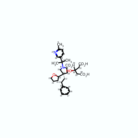 Cc1ccc(C(C)(C)N2CC[C@@](CCc3ccccc3)(C3CCCO3)C2)cn1.O=C(O)CC(O)(CC(=O)O)C(=O)O